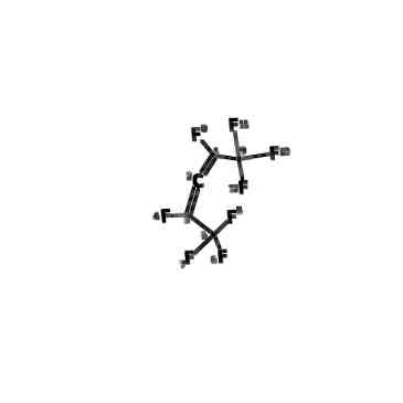 FC(=C=C(F)C(F)(F)F)C(F)(F)F